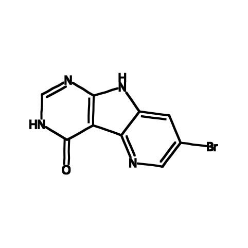 O=c1[nH]cnc2[nH]c3cc(Br)cnc3c12